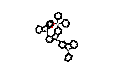 c1ccc(-n2c3ccccc3c3cc(-n4c5ccc([Si](c6ccccc6)(c6ccccc6)c6ccccc6)cc5c5c(-n6c7ccccc7c7ccccc76)cccc54)ccc32)cc1